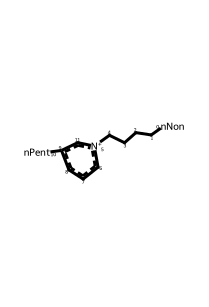 CCCCCCCCCCCCC[n+]1cccc(CCCCC)c1